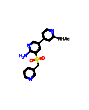 CC(=O)Nc1cc(-c2cnc(N)c(S(=O)(=O)Cc3cccnc3)c2)ccn1